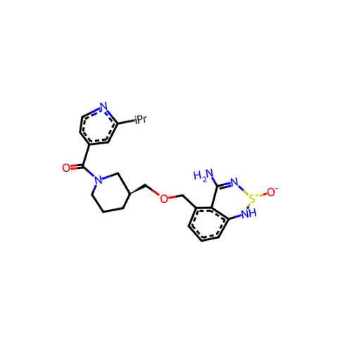 CC(C)c1cc(C(=O)N2CCC[C@H](COCc3cccc4c3C(N)=N[S+]([O-])N4)C2)ccn1